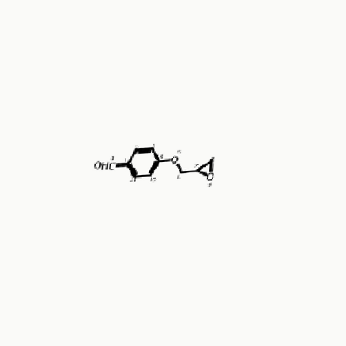 O=Cc1ccc(OC[C@H]2CO2)cc1